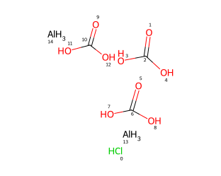 Cl.O=C(O)O.O=C(O)O.O=C(O)O.[AlH3].[AlH3]